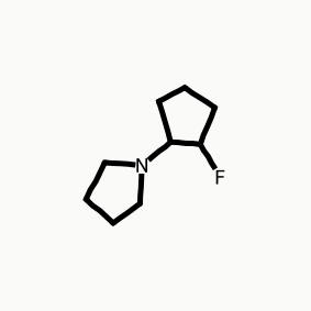 FC1CCCC1N1CCCC1